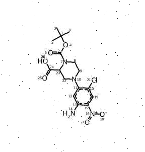 CC(C)(C)OC(=O)N1CCN(c2cc(N)c([N+](=O)[O-])cc2Cl)CC1C(=O)O